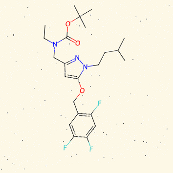 CCN(Cc1cc(OCc2cc(F)c(F)cc2F)n(CCC(C)C)n1)C(=O)OC(C)(C)C